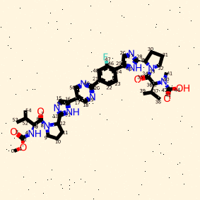 COC(=O)N[C@H](C(=O)N1CCCC1c1ncc(-c2cnc(-c3ccc(-c4cnc([C@@H]5CCCN5C(=O)[C@H](C(C)C)N(C)C(=O)O)[nH]4)c(F)c3)nc2)[nH]1)C(C)C